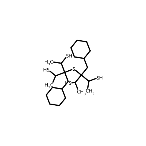 CC(S)C(CC1CCCCC1)(SC(CC1CCCCC1)(C(C)S)C(C)S)C(C)S